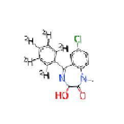 [2H]c1c([2H])c([2H])c(C2=NC(O)C(=O)N(C)c3ccc(Cl)cc32)c([2H])c1[2H]